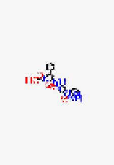 O=C(O)Cn1cc(-c2ccccc2)cc(NC(=O)N2CCC(n3c(=O)[nH]c4ncccc43)CC2)c1=O